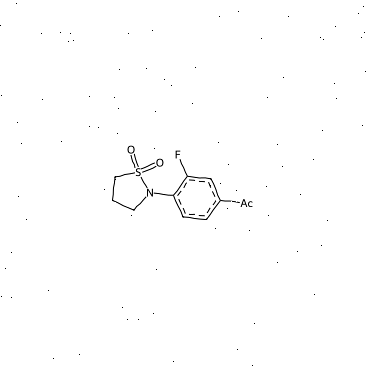 CC(=O)c1ccc(N2CCCS2(=O)=O)c(F)c1